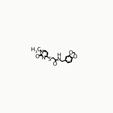 Cn1ccc(SCC(=O)NCc2ccc3c(c2)OCO3)nc1=O